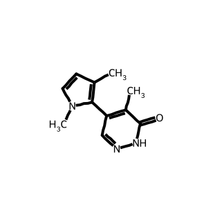 Cc1ccn(C)c1-c1cn[nH]c(=O)c1C